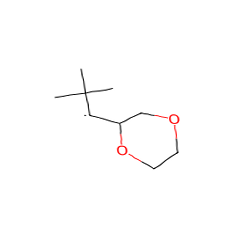 CC(C)(C)[CH]C1COCCO1